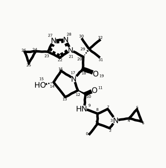 CC1CN(C2CC2)CC1NC(=O)[C@H]1C[C@H](O)CN1C(=O)[C@H](n1cc(C2CC2)nn1)C(C)(C)C